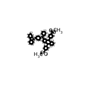 COC(=O)c1ccc(-c2c3ccccc3c(-c3ccc(C(=O)OC)cc3)c3cc(N(c4ccccc4)c4ccc(-n5c6ccccc6c6ccccc65)cc4)ccc23)cc1